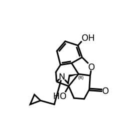 O=C1CCC2(O)C3Cc4ccc(O)c5c4[C@]2(CCN3CC2CC2)C1O5